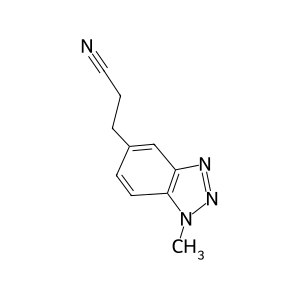 Cn1nnc2cc(CCC#N)ccc21